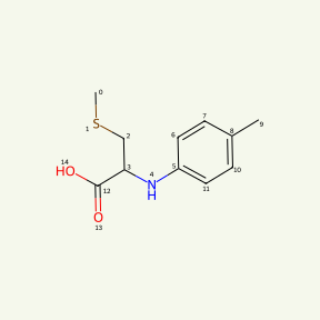 CSCC(Nc1ccc(C)cc1)C(=O)O